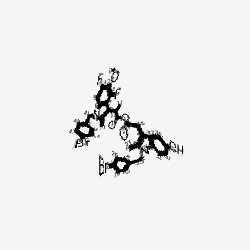 COc1c(F)cc2c(c1F)c(C(C)C(=O)OC(=O)Cc1c(C)n(Cc3ccc(Br)cc3)c3ccc(O)cc13)c(C)n2Cc1ccc(Br)cc1